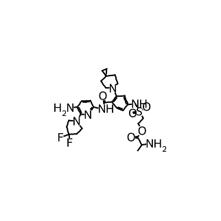 CC(N)C(=O)OCCS(=O)(=O)Nc1ccc(C(=O)Nc2ccc(N)c(N3CCC(F)(F)CC3)n2)c(N2CCC3(CC2)CC3)c1